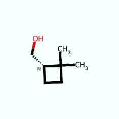 CC1(C)CC[C@@H]1CO